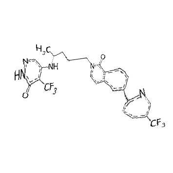 CC(CCCn1ccc2cc(-c3ccc(C(F)(F)F)cn3)ccc2c1=O)Nc1cn[nH]c(=O)c1C(F)(F)F